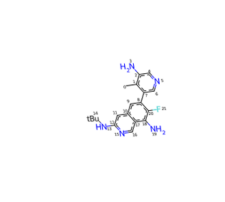 Cc1c(N)cncc1-c1cc2cc(NC(C)(C)C)ncc2c(N)c1F